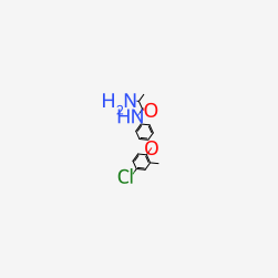 Cc1cc(Cl)ccc1Oc1ccc(NC(=O)C(C)N)cc1